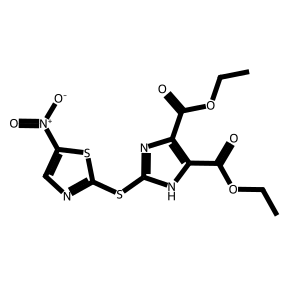 CCOC(=O)c1nc(Sc2ncc([N+](=O)[O-])s2)[nH]c1C(=O)OCC